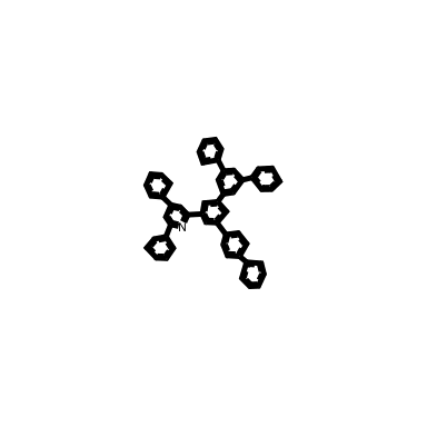 c1ccc(-c2ccc(-c3cc(-c4cc(-c5ccccc5)cc(-c5ccccc5)c4)cc(-c4cc(-c5ccccc5)cc(-c5ccccc5)n4)c3)cc2)cc1